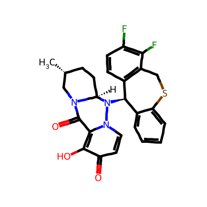 C[C@@H]1CC[C@@H]2N(C1)C(=O)c1c(O)c(=O)ccn1N2[C@@H]1c2ccccc2SCc2c1ccc(F)c2F